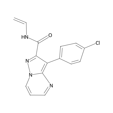 C=CNC(=O)c1nn2cccnc2c1-c1ccc(Cl)cc1